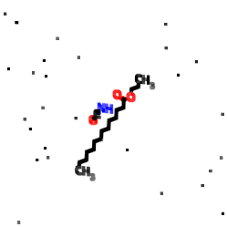 CCCCCCCCCCCCCC(=O)OCCC.N=C=O